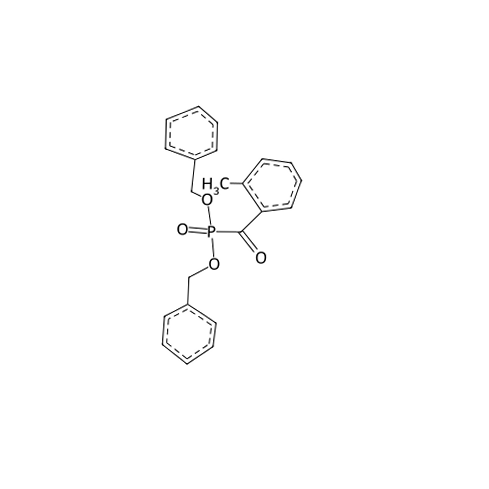 Cc1ccccc1C(=O)P(=O)(OCc1ccccc1)OCc1ccccc1